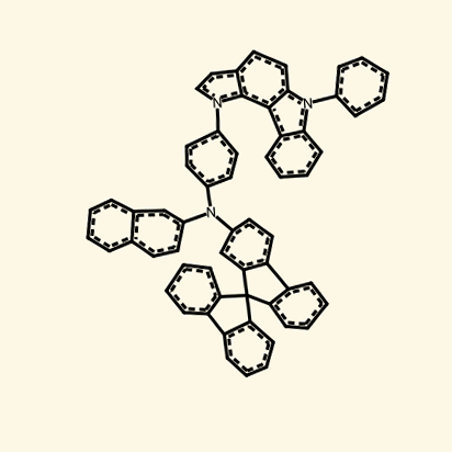 c1ccc(-n2c3ccccc3c3c4c(ccc32)ccn4-c2ccc(N(c3ccc4c(c3)C3(c5ccccc5-c5ccccc53)c3ccccc3-4)c3ccc4ccccc4c3)cc2)cc1